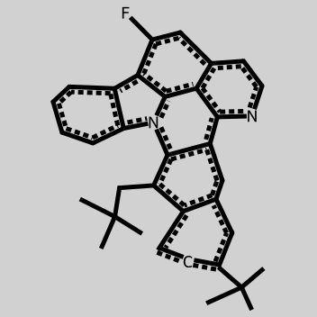 CC(C)(C)Cc1c2ccc(C(C)(C)C)cc2cc2c3nccc4cc(F)c5c6ccccc6n(c12)c5c43